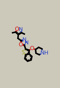 Cc1noc(C)c1Cc1nnc(-c2sc3ccccc3c2OC2CCNCC2)o1